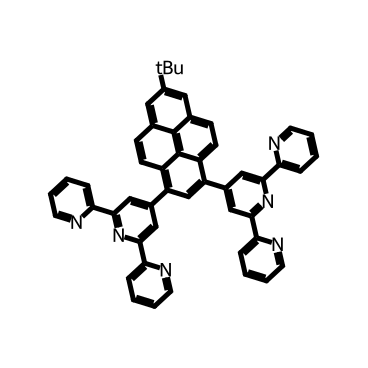 CC(C)(C)c1cc2ccc3c(-c4cc(-c5ccccn5)nc(-c5ccccn5)c4)cc(-c4cc(-c5ccccn5)nc(-c5ccccn5)c4)c4ccc(c1)c2c34